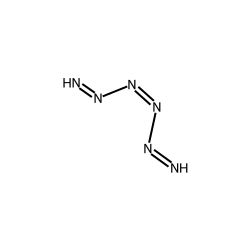 N=N/N=N\N=N